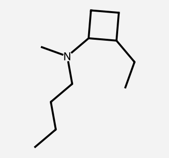 CCCCN(C)C1CCC1CC